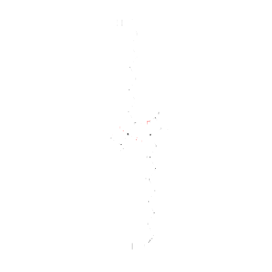 CCCCCCCCCCC1(OC2(CCCCCCCCCC)CCO2)CCO1